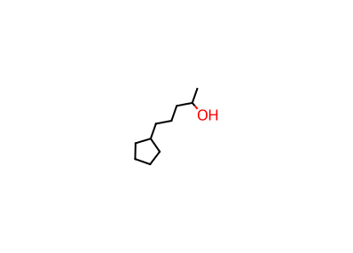 CC(O)CCCC1CCCC1